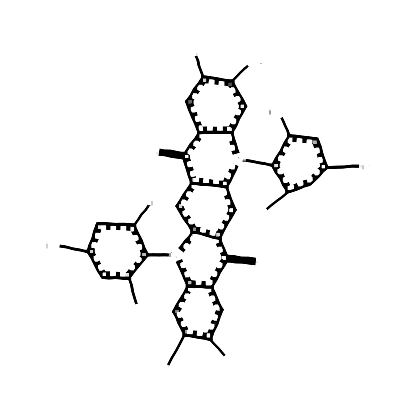 CC(C)c1cc(C(C)C)c(-n2c3cc(C(C)(C)C)c(C(C)(C)C)cc3c(=O)c3cc4c(cc32)c(=O)c2cc(C(C)(C)C)c(C(C)(C)C)cc2n4-c2c(C(C)C)cc(C(C)C)cc2C(C)C)c(C(C)C)c1